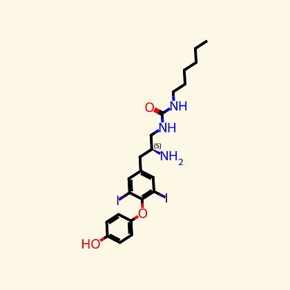 CCCCCCNC(=O)NC[C@@H](N)Cc1cc(I)c(Oc2ccc(O)cc2)c(I)c1